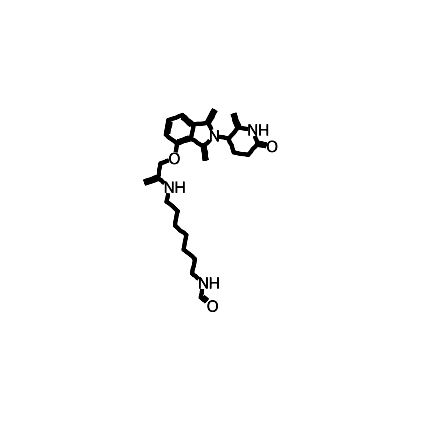 C=C(COc1cccc2c(=C)n(C3CCC(=O)NC3=C)c(=C)c12)NCCCCCCCNC=O